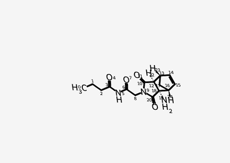 CCCC(=O)NC(=O)CN1C(=O)[C@H]2[C@@H]3C=C[C@@H](C3)[C@@]2(N)C1=O